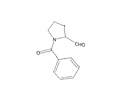 O=CC1CCCN1C(=O)c1ccccc1